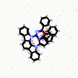 c1ccc(-c2nc(-n3c4ccccc4c4ccc5c6ccccc6n(-c6ccc7c(c6)oc6ccccc67)c5c43)nc3ccccc23)cc1